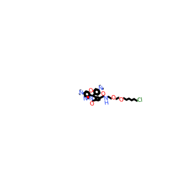 CN(C)c1ccc2c(c1)Oc1cc(N(C)C)ccc1C21c2cc(C(=O)NCCOCCOCCCCCCCl)ccc2C(=O)N1C#N